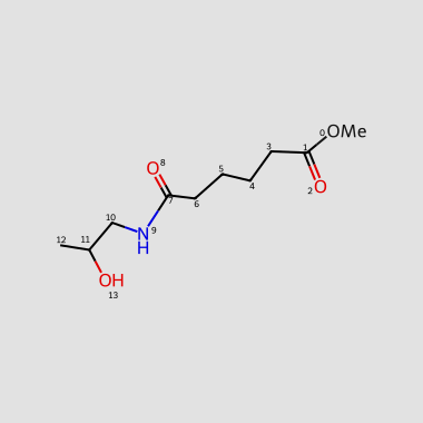 COC(=O)CCCCC(=O)NCC(C)O